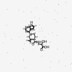 O=C(O)C(O)CNC(=O)[C@H]1CCN(c2ncnc3[nH]ccc23)CC12CC2